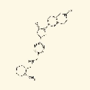 CCCN1CCc2cc(N3CC(c4ccc(CNCC5CCCCN5C)cc4)CC3=O)ccc2C1